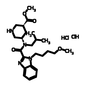 COCCCCn1c(C(=O)N(CC(C)C)[C@@H]2CNC[C@H](C(=O)OC)C2)nc2ccccc21.Cl.Cl